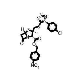 C[C@@]1(CSc2nnnn2-c2ccc(Cl)cc2)S[C@H]2CC(=O)N2[C@H]1C(=O)OCc1ccc([N+](=O)[O-])cc1